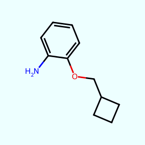 Nc1ccccc1OCC1CCC1